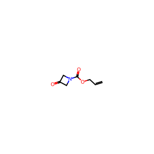 C=CCOC(=O)N1CC(=O)C1